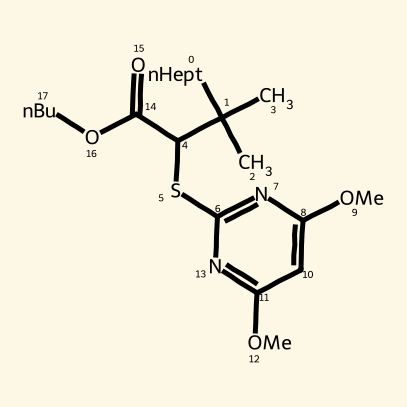 CCCCCCCC(C)(C)C(Sc1nc(OC)cc(OC)n1)C(=O)OCCCC